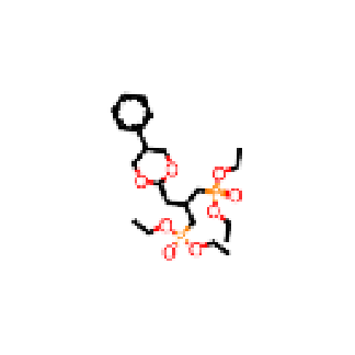 CCOP(=O)(CC(CC1OCC(c2ccccc2)CO1)CP(=O)(OCC)OCC)OCC